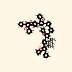 C[Si]1(C)c2cc(-c3ccccc3)c3c(oc4ccccc43)c2-c2ccc3c(c21)[Si](C)(C)c1cc(-c2cccc(-c4cccc(-c5cc6oc7cc8c(cc7c6c6c5oc5ccccc56)oc5cc(-c6ccccc6)c6oc7ccccc7c6c58)c4)c2)c2c(oc4ccccc42)c1-3